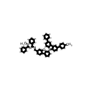 C=N/C(=N\C(=N/Cc1ccc2c(c1)oc1c(-n3c4ccc(C5=CCC(C)C=C5)cc4c4cc(-c5ccccc5)ccc43)cccc12)c1ccccc1)c1ccccc1